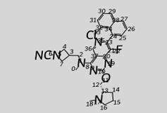 CN(CC1CN(C#N)C1)c1nc(OC[C@@H]2CCCN2C)nc2c(F)c(-c3cccc4cccc(Cl)c34)ncc12